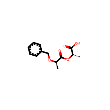 C[C@H](OC(=O)[C@@H](C)OCc1ccccc1)C(=O)O